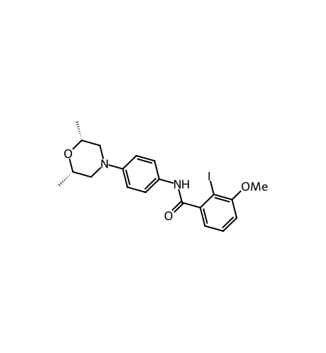 COc1cccc(C(=O)Nc2ccc(N3C[C@@H](C)O[C@@H](C)C3)cc2)c1I